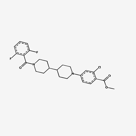 COC(=O)c1ccc(N2CCC(C3CCN(C(=O)c4c(F)cccc4F)CC3)CC2)cc1Cl